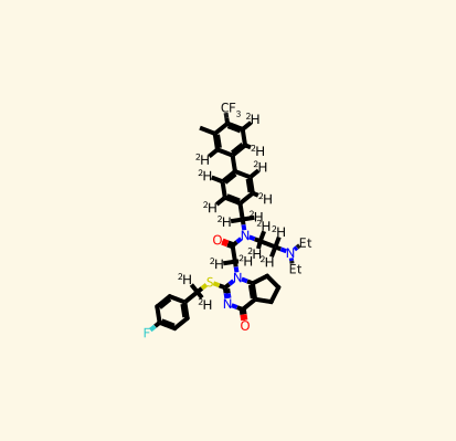 [2H]c1c([2H])c(C([2H])([2H])N(C(=O)C([2H])([2H])n2c(SC([2H])([2H])c3ccc(F)cc3)nc(=O)c3c2CCC3)C([2H])([2H])C([2H])([2H])N(CC)CC)c([2H])c([2H])c1-c1c([2H])c([2H])c(C(F)(F)F)c(C)c1[2H]